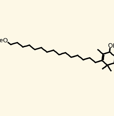 COCCCCCCCCCCCCCCCC1=C(C)C(O)CCC1(C)C